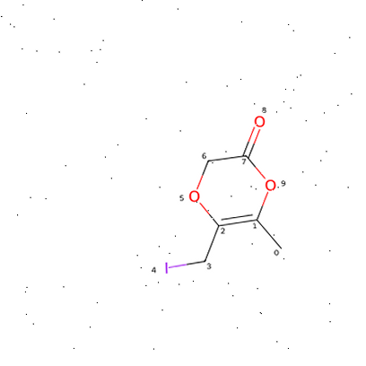 CC1=C(CI)OCC(=O)O1